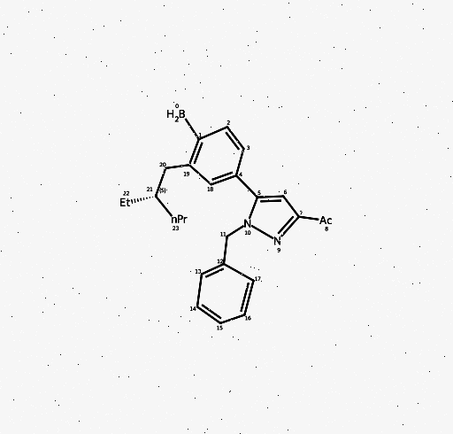 Bc1ccc(-c2cc(C(C)=O)nn2Cc2ccccc2)cc1C[C@@H](CC)CCC